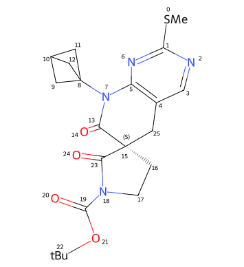 CSc1ncc2c(n1)N(C13CC(C1)C3)C(=O)[C@@]1(CCN(C(=O)OC(C)(C)C)C1=O)C2